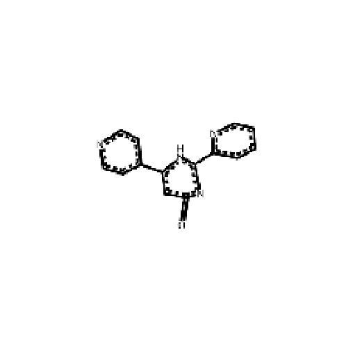 O=c1cc(-c2ccncc2)[nH]c(-c2ccccn2)n1